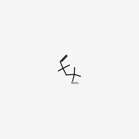 C=CC(C)(C)CC(C)(C)NC(C)=O